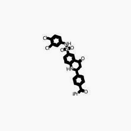 CC(C)C(=O)c1ccc(C2CC(=O)c3cc(S(=O)(=O)Nc4ccc(Cl)c(Cl)c4)ccc3N2)cc1